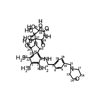 Bc1c(B)c(NCc2ccc(CN3CCOCC3)cc2)c2c(c1B)C(=O)N(C1(B)C(=O)NC(=O)C(O)(O)C1(O)O)C2